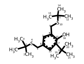 CC(C)(C)SCc1cc(CSC(C)(C)C)c(O)c(C(C)(C)C)c1